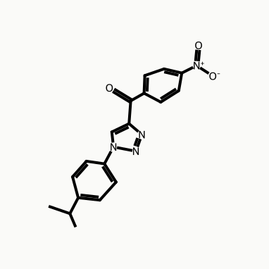 CC(C)c1ccc(-n2cc(C(=O)c3ccc([N+](=O)[O-])cc3)nn2)cc1